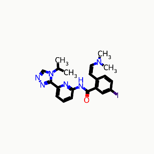 CC(C)n1cnnc1-c1cccc(NC(=O)c2cc(I)ccc2/C=C\N(C)C)n1